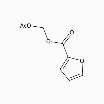 CC(=O)OCOC(=O)c1ccco1